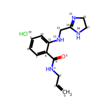 C=CCNC(=O)c1ccccc1NCC1=NCCN1.Cl